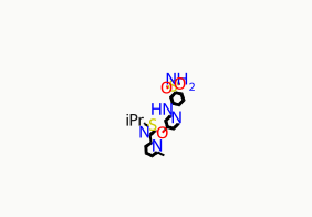 Cc1cccc(-c2nc(C(C)C)sc2Oc2ccnc(Nc3cccc(S(N)(=O)=O)c3)c2)n1